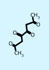 CC(=O)CC(=O)C(=O)CC(C)=O